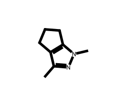 Cc1nn(C)c2c1CCC2